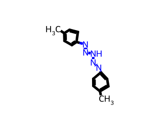 Cc1ccc(/N=N/N/N=N/c2ccc(C)cc2)cc1